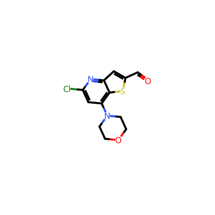 O=Cc1cc2nc(Cl)cc(N3CCOCC3)c2s1